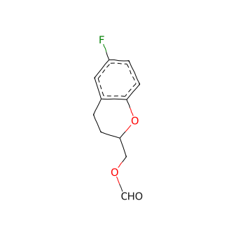 O=COCC1CCc2cc(F)ccc2O1